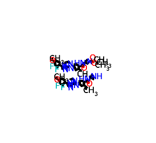 CCc1cc(Nc2nccn3c(-c4ccc(OC)c(F)c4F)cnc23)ccc1C(=O)NC1CN(C(=O)OC(C)(C)C)C1.CCc1cc(Nc2nccn3c(-c4ccc(OC)c(F)c4F)cnc23)ccc1C(=O)NC1CNC1